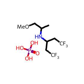 COCC(C)NC(CC(F)(F)F)CC(F)(F)F.O=P(O)(O)O